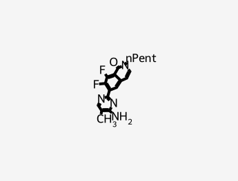 CCCCCn1ccc2cc(-c3ncc(C)c(N)n3)c(F)c(F)c2c1=O